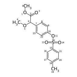 COC(=O)C(OC)c1ccc(OS(=O)(=O)c2ccc(C)cc2)cc1